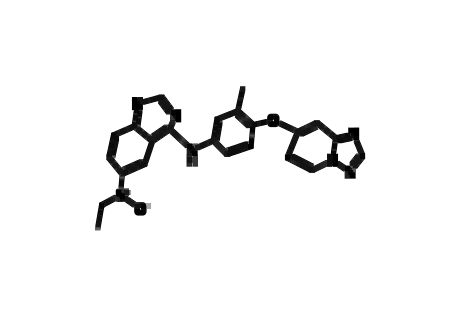 CC[S+]([O-])c1ccc2ncnc(Nc3ccc(Oc4ccn5ncnc5c4)c(C)c3)c2c1